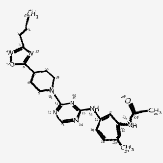 CCCc1noc(C2CCN(c3ncnc(Nc4ccc(C)c(NC(C)=O)c4)n3)CC2)n1